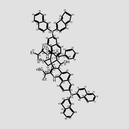 CCCCC(CC)C(=O)Nc1c(C2C(O)C(c3ccc4cc(N(c5ccc6ccccc6c5)c5ccc6ccccc6c5)ccc4c3NC(=O)C(CC)CCCC)C3(CCC3C(=O)OCc3ccccc3)C2O)ccc2cc(N(c3ccc4ccccc4c3)c3ccc4ccccc4c3)ccc12